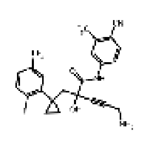 N#Cc1ccc(NC(=O)C(O)(C#CCN)CC2(c3cc(C(F)(F)F)ccc3F)CC2)cc1C(F)(F)F